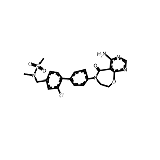 CN(Cc1ccc(-c2ccc(N3CCOc4ncnc(N)c4C3=O)cc2)c(Cl)c1)S(C)(=O)=O